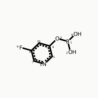 OB(O)Oc1cncc(F)c1